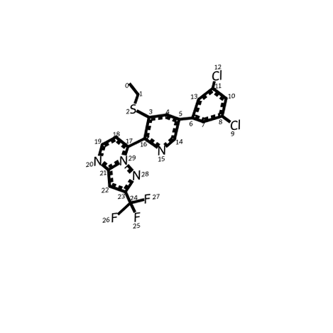 CCSc1cc(-c2cc(Cl)cc(Cl)c2)cnc1-c1ccnc2cc(C(F)(F)F)nn12